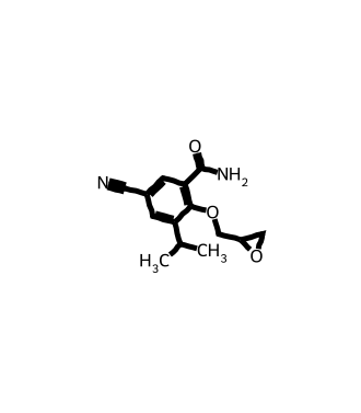 CC(C)c1cc(C#N)cc(C(N)=O)c1OCC1CO1